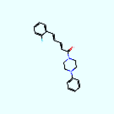 O=C(C=CC=Cc1ccccc1F)N1CCN(c2ccccc2)CC1